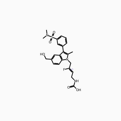 Cc1c(-c2cccc(S(=O)(=O)N(C)C)c2)c2cc(CO)ccc2n1C/C(F)=C/CNC(=O)O